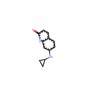 O=c1ccc2ccc(NC3CC3)cc2[nH]1